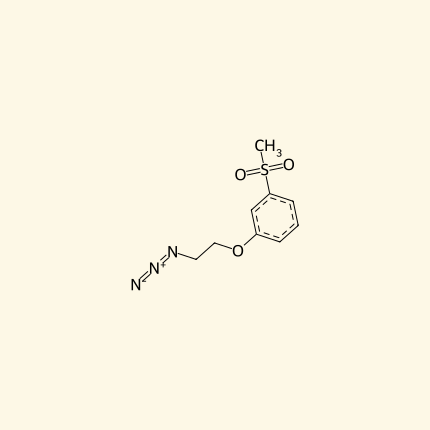 CS(=O)(=O)c1cccc(OCCN=[N+]=[N-])c1